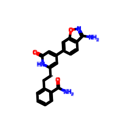 NC(=O)c1ccccc1C[CH]c1cc(-c2ccc3c(N)noc3c2)cc(=O)[nH]1